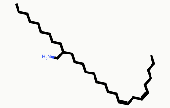 CCCCC/C=C\C/C=C\CCCCCCCCCC(CN)CCCCCCCCC